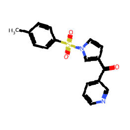 Cc1ccc(S(=O)(=O)n2ccc(C(=O)c3cccnc3)c2)cc1